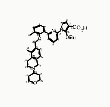 Cc1cccc(-c2cccc(-n3ncc(C(=O)O)c3OCC(C)C)n2)c1OCc1ccc2c(c1C)CCN(C1CCOCC1)C2